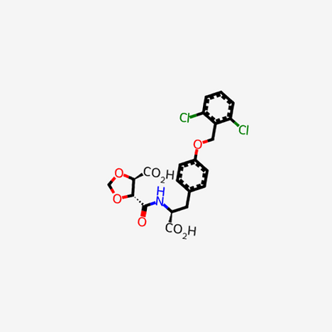 O=C(O)[C@H](Cc1ccc(OCc2c(Cl)cccc2Cl)cc1)NC(=O)[C@@H]1OCO[C@H]1C(=O)O